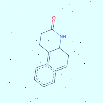 O=C1CCC2=c3ccccc3=CCC2N1